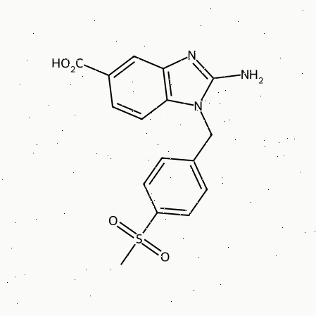 CS(=O)(=O)c1ccc(Cn2c(N)nc3cc(C(=O)O)ccc32)cc1